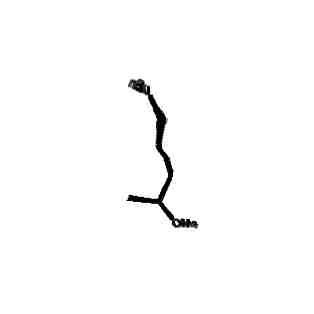 [CH2]CCCCCCC(C)OC